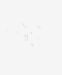 CC(C)(C)OC(=O)N[C@@H](CC(N)=O)C(=O)N1CCC[C@H]1C(=O)OCc1ccccc1